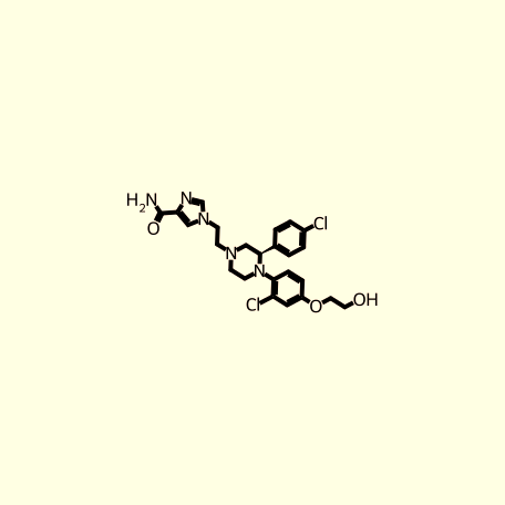 NC(=O)c1cn(CCN2CCN(c3ccc(OCCO)cc3Cl)[C@H](c3ccc(Cl)cc3)C2)cn1